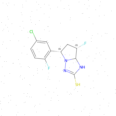 Fc1ccc(Cl)cc1[C@@H]1C[C@H](F)C2NC(S)=NN21